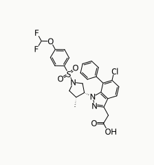 C[C@@H]1CN(S(=O)(=O)c2ccc(OC(F)F)cc2)C[C@@H]1n1nc(CC(=O)O)c2ccc(Cl)c(-c3ccccc3)c21